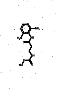 CC(C)(C)OC(=O)NCCC(=O)Nc1c(N)ncnc1N